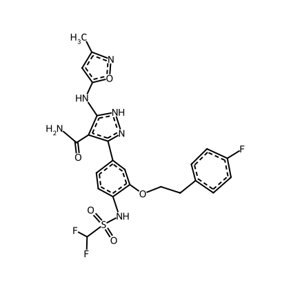 Cc1cc(Nc2[nH]nc(-c3ccc(NS(=O)(=O)C(F)F)c(OCCc4ccc(F)cc4)c3)c2C(N)=O)on1